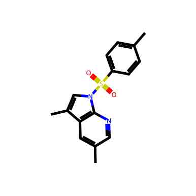 Cc1ccc(S(=O)(=O)n2cc(C)c3cc(C)cnc32)cc1